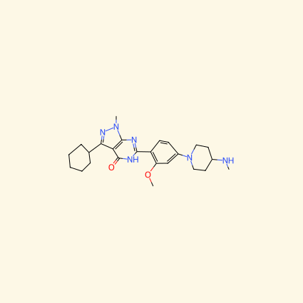 CNC1CCN(c2ccc(-c3nc4c(c(C5CCCCC5)nn4C)c(=O)[nH]3)c(OC)c2)CC1